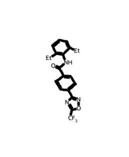 CCc1cccc(CC)c1NC(=O)c1ccc(-c2noc(C(F)(F)F)n2)cc1